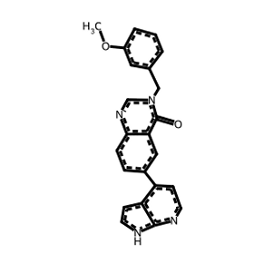 COc1cccc(Cn2cnc3ccc(-c4ccnc5[nH]ccc45)cc3c2=O)c1